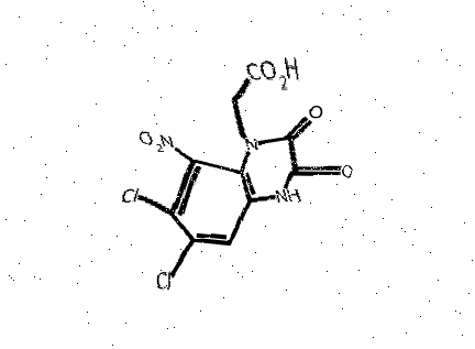 O=C(O)Cn1c(=O)c(=O)[nH]c2cc(Cl)c(Cl)c([N+](=O)[O-])c21